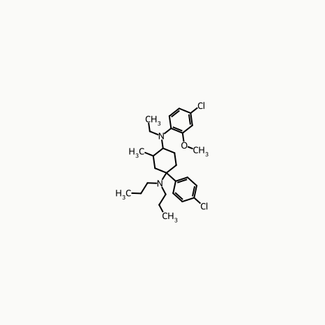 CCCN(CCC)C1(c2ccc(Cl)cc2)CCC(N(CC)c2ccc(Cl)cc2OC)C(C)C1